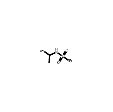 CC(C)C(C)NS(=O)(=O)C(C)C